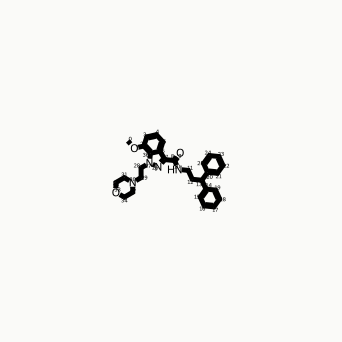 COc1cccc2c(C(=O)NCCC(c3ccccc3)c3ccccc3)nn(CCN3CCOCC3)c12